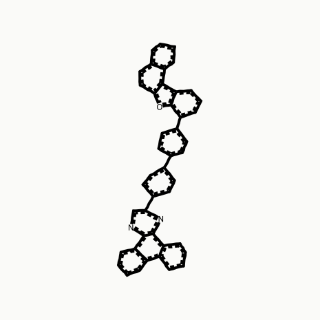 c1ccc2c(c1)ccc1oc3c(-c4ccc(-c5ccc(-c6cnc7c8ccccc8c8ccccc8c7n6)cc5)cc4)cccc3c12